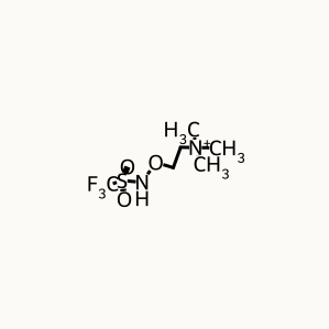 C[N+](C)(C)CCONS(=O)(=O)C(F)(F)F